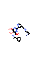 CC(NC(=O)c1nc(-c2cc(CCNCc3cccn3C)ccn2)nc(O)c1O)C1CCCCC1